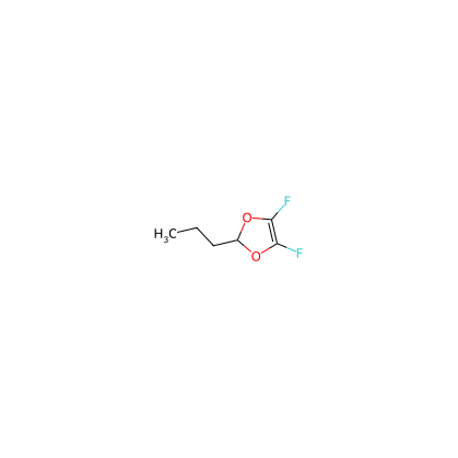 CCCC1OC(F)=C(F)O1